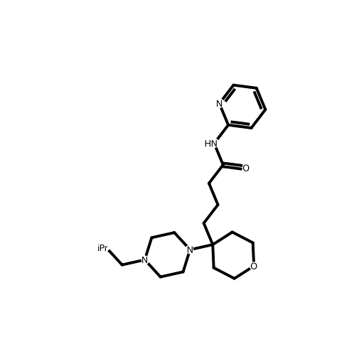 CC(C)CN1CCN(C2(CCCC(=O)Nc3ccccn3)CCOCC2)CC1